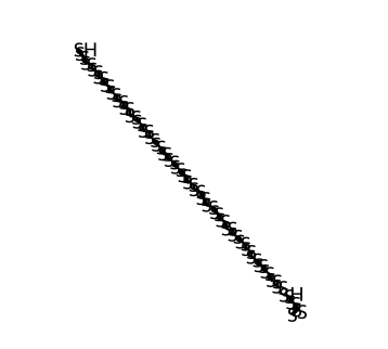 S=[SH](=S)SSSSSSSSSSSSSSSSSSSSSSSSSSSSSSSSSSSSSSSSSSSSSSSSSSSSSSSSSSSSSSSSSSSSS